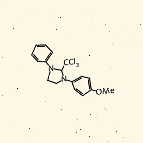 COc1ccc(N2CCN(c3ccccc3)C2C(Cl)(Cl)Cl)cc1